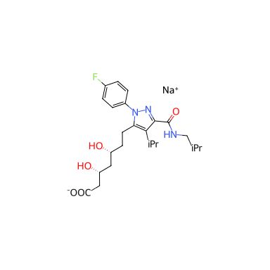 CC(C)CNC(=O)c1nn(-c2ccc(F)cc2)c(CC[C@@H](O)C[C@@H](O)CC(=O)[O-])c1C(C)C.[Na+]